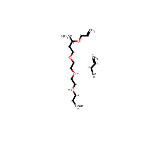 C=CCOC(CCOCCOCCOCCOC)S(=O)(=O)O.C=C[CH2][Na]